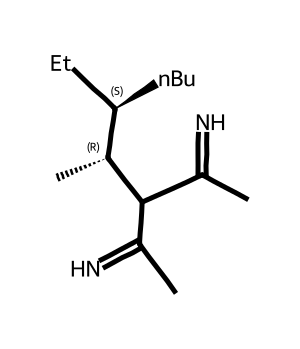 CCCC[C@H](CC)[C@@H](C)C(C(C)=N)C(C)=N